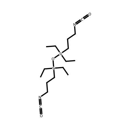 CC[Si](CC)(CCCN=C=O)O[Si](CC)(CC)CCCN=C=O